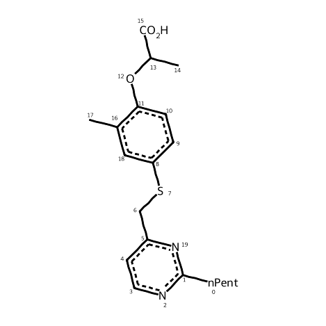 CCCCCc1nccc(CSc2ccc(OC(C)C(=O)O)c(C)c2)n1